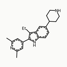 CCc1c(-c2cc(C)nc(C)c2)[nH]c2ccc(C3CCNCC3)cc12